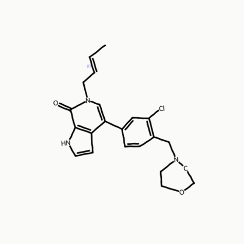 C/C=C/Cn1cc(-c2ccc(CN3CCOCC3)c(Cl)c2)c2cc[nH]c2c1=O